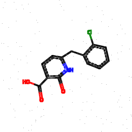 O=C(O)c1ccc(Cc2ccccc2Cl)[nH]c1=O